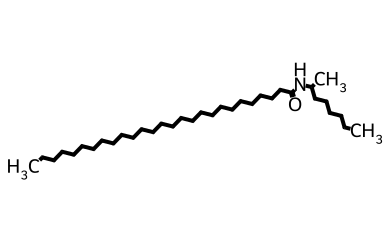 CCCCCCCCCCCCCCCCCCCCCCCCCCC(=O)NC(C)CCCCCC